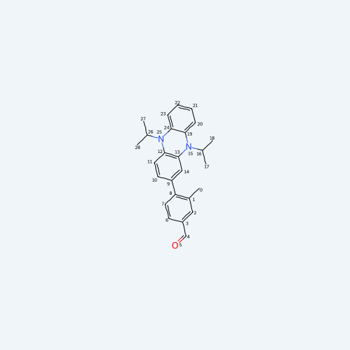 Cc1cc(C=O)ccc1-c1ccc2c(c1)N(C(C)C)c1ccccc1N2C(C)C